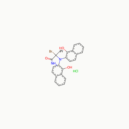 CC(C)C(Br)(C(N)=O)N(c1ccc2ccccc2c1O)c1ccc2ccccc2c1O.Cl